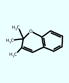 CC1=Cc2[c]cccc2OC1(C)C